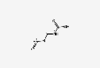 O=C(O)NCC[SH]=S